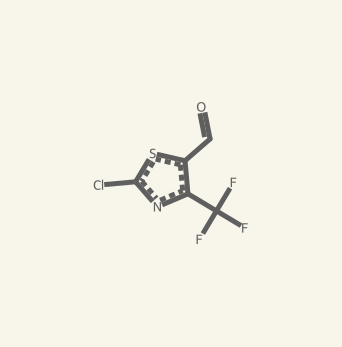 O=Cc1sc(Cl)nc1C(F)(F)F